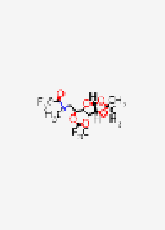 CN(C[C@H](OC(=O)C(F)(F)F)[C@@H]1C[C@H]2OC(C)(C)O[C@H]2O1)C(=O)C(F)(F)F